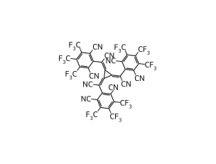 N#CC(=C1C(=C(C#N)c2c(C#N)c(C(F)(F)F)c(C(F)(F)F)c(C(F)(F)F)c2C#N)C1=C(C#N)c1c(C#N)c(C(F)(F)F)c(C(F)(F)F)c(C(F)(F)F)c1C#N)c1c(C#N)c(C(F)(F)F)c(C(F)(F)F)c(C(F)(F)F)c1C#N